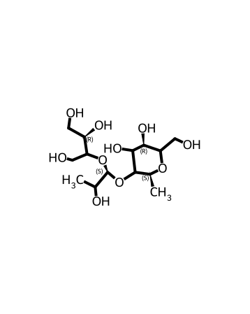 CC(O)[C@@H](OC(CO)[C@H](O)CO)OC1C(O)[C@@H](O)C(CO)O[C@H]1C